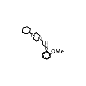 COc1ccccc1NCCN1CCN(C2CCCCC2)CC1